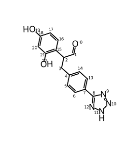 O=CC(Cc1ccc(-c2nn[nH]n2)cc1)c1ccc(O)cc1O